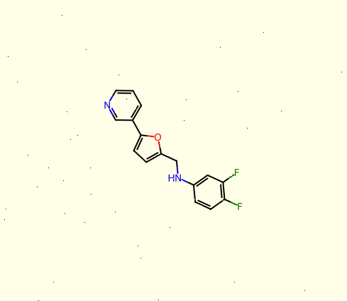 Fc1ccc(NCc2ccc(-c3cccnc3)o2)cc1F